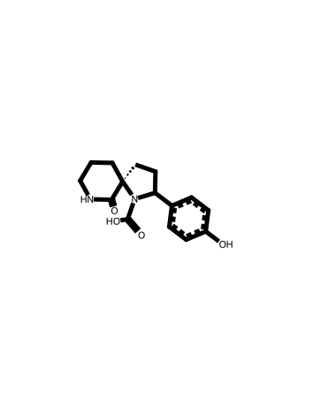 O=C(O)N1C(c2ccc(O)cc2)CC[C@]12CCCNC2=O